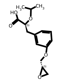 CC(C)O[C@@H](Cc1cccc(OC[C@@H]2CO2)c1)C(=O)O